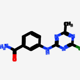 Cc1nc(Cl)nc(Nc2cccc(C(N)=O)c2)n1